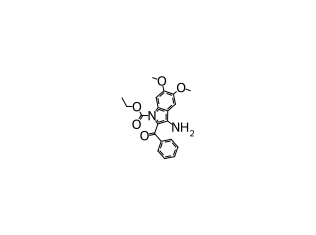 CCOC(=O)n1c(C(=O)c2ccccc2)c(N)c2cc(OC)c(OC)cc21